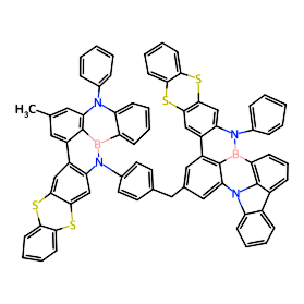 Cc1cc2c3c(c1)N(c1ccccc1)c1ccccc1B3N(c1ccc(Cc3cc4c5c(c3)-n3c6ccccc6c6cccc(c63)B5N(c3ccccc3)c3cc5c(cc3-4)Sc3ccccc3S5)cc1)c1cc3c(cc1-2)Sc1ccccc1S3